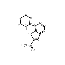 NC(=O)c1cc2ncnc(C3C[CH]CCN3)c2s1